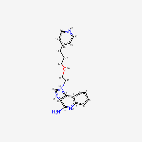 Nc1nc2ccccc2c2c1ncn2CCOCCCc1ccncc1